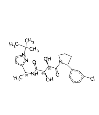 C[C@@H](NC(=O)[C@H](O)[C@@H](O)C(=O)N1CCCC1c1cccc(Cl)c1)c1ccn(C(C)(C)C)n1